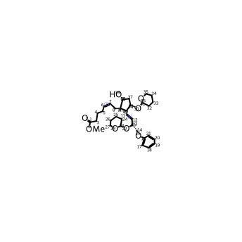 COC(=O)CCC/C=C\C[C@@H]1[C@@H](/C=C/[C@H](COc2ccccc2)OC2CCCCO2)[C@H](OC2CCCCO2)C[C@H]1O